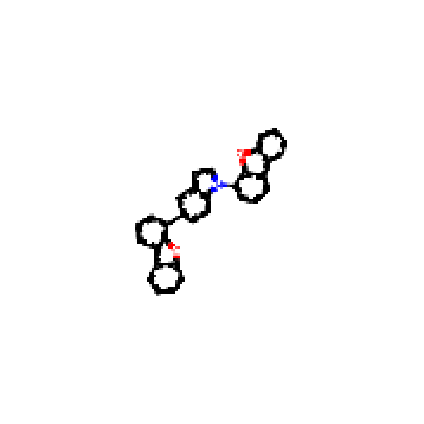 c1ccc2c(c1)oc1c(-c3ccc4c(ccn4-c4cccc5c4oc4ccccc45)c3)cccc12